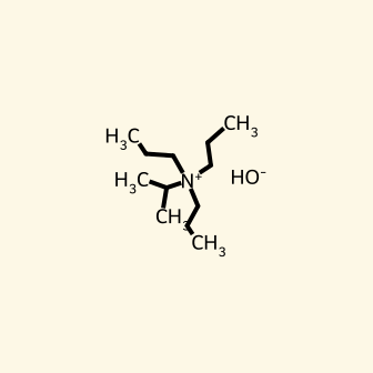 CCC[N+](CCC)(CCC)C(C)C.[OH-]